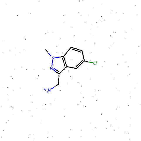 Cn1nc(CN)c2cc(Cl)ccc21